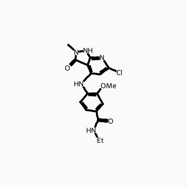 CCNC(=O)c1ccc(Nc2cc(Cl)nc3[nH]n(C)c(=O)c23)c(OC)c1